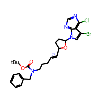 CC(C)(C)OC(=O)N(CCC/C=C/C1CCC(n2cc(Br)c3c(Cl)ncnc32)O1)Cc1ccccc1